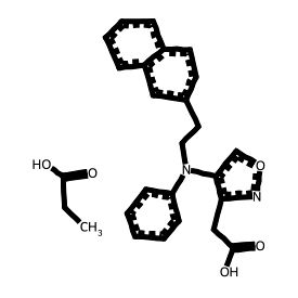 CCC(=O)O.O=C(O)Cc1nocc1N(CCc1ccc2ccccc2c1)c1ccccc1